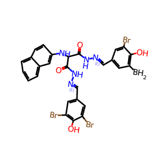 Bc1cc(/C=N/NC(=O)C(Nc2ccc3ccccc3c2)C(=O)N/N=C/c2cc(Br)c(O)c(Br)c2)cc(Br)c1O